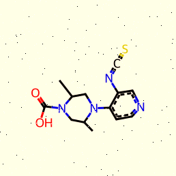 CC1CN(c2ccncc2N=C=S)C(C)CN1C(=O)O